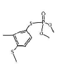 COP(=O)(OC)Sc1ccc(SC)c(C)c1